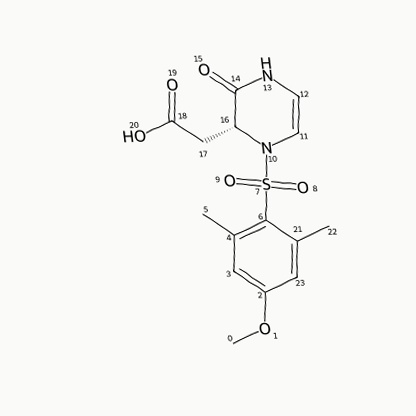 COc1cc(C)c(S(=O)(=O)N2C=CNC(=O)[C@H]2CC(=O)O)c(C)c1